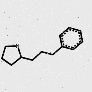 c1ccc(CCCC2CCC[N]2)cc1